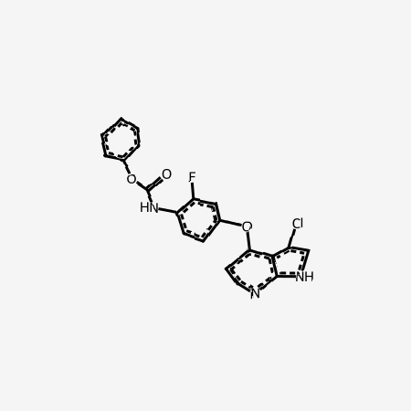 O=C(Nc1ccc(Oc2ccnc3[nH]cc(Cl)c23)cc1F)Oc1ccccc1